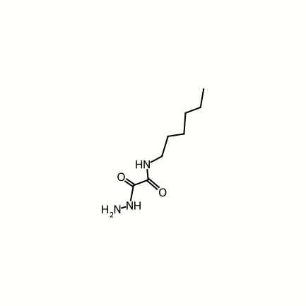 CCCCCCNC(=O)C(=O)NN